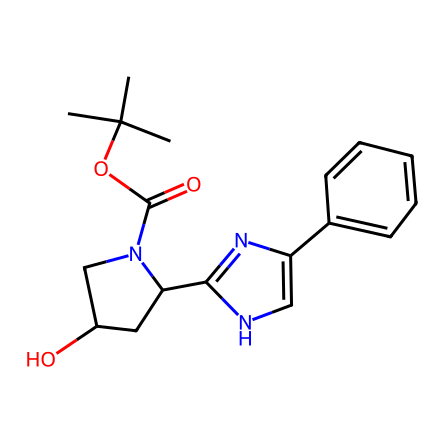 CC(C)(C)OC(=O)N1CC(O)CC1c1nc(-c2ccccc2)c[nH]1